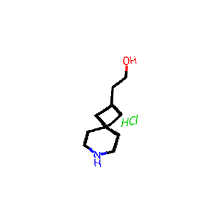 Cl.OCCC1CC2(CCNCC2)C1